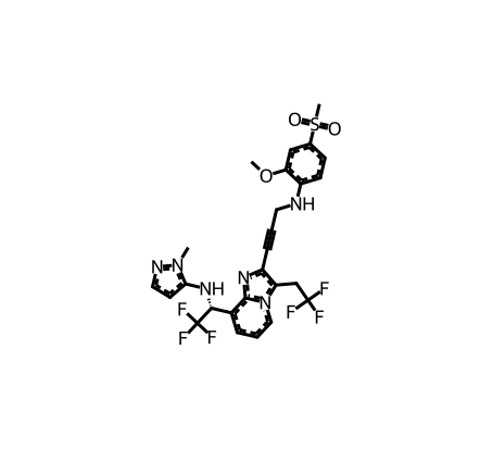 COc1cc(S(C)(=O)=O)ccc1NCC#Cc1nc2c([C@@H](Nc3ccnn3C)C(F)(F)F)cccn2c1CC(F)(F)F